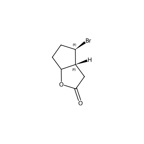 O=C1C[C@@H]2C(CC[C@H]2Br)O1